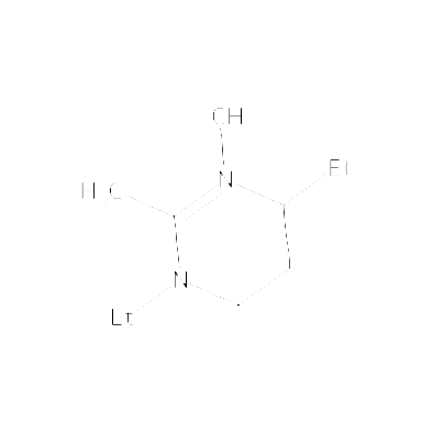 CCC1CCN(CC)C(C)=[N+]1C